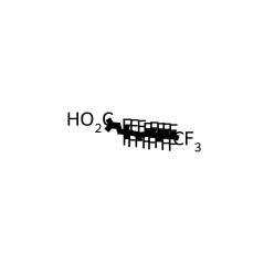 CC(=CCC(F)(F)C(F)(F)C(F)(F)C(F)(F)C(F)(F)C(F)(F)C(F)(F)C(F)(F)C(F)(F)F)C(=O)O